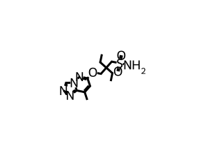 CCC(CC)(COc1cc(C)c2nncn2n1)CS(N)(=O)=O